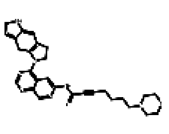 O=C(C#CCCCCN1CCOCC1)Nc1cc2c(N3CCC4=C3CC3=CCNC3=C4)ncnc2cn1